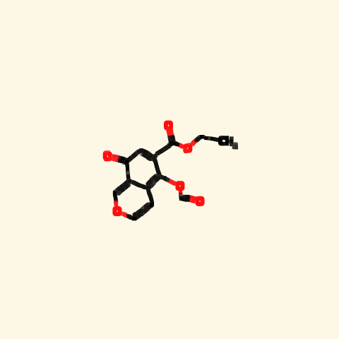 CCOC(=O)c1cc(=O)c2coccc-2c1OC=O